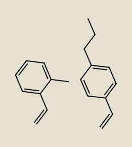 C=Cc1ccc(CCC)cc1.C=Cc1ccccc1C